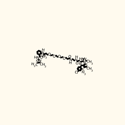 CC1=NNC2[C@H](CC(=O)NCCNC(=O)CCOCCOCCOCCOCCC(=O)NC3(C)C=CC=CC3C(=O)Nc3nc(C)c(C)s3)N=C(c3ccc(Cl)cc3)c3c(sc(C)c3C)N12